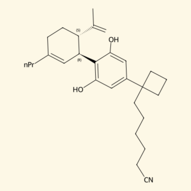 C=C(C)[C@H]1CCC(CCC)=C[C@@H]1c1c(O)cc(C2(CCCCCC#N)CCC2)cc1O